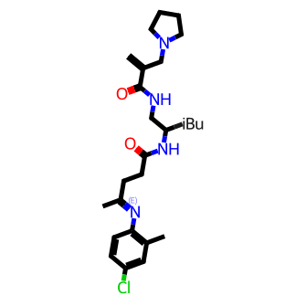 C=C(CN1CCCC1)C(=O)NCC(NC(=O)CC/C(C)=N/c1ccc(Cl)cc1C)C(C)CC